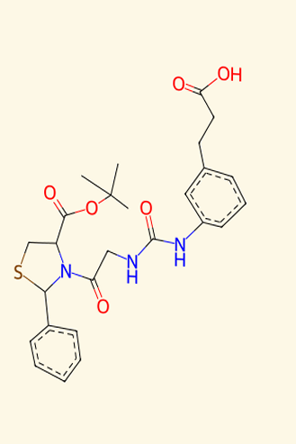 CC(C)(C)OC(=O)C1CSC(c2ccccc2)N1C(=O)CNC(=O)Nc1cccc(CCC(=O)O)c1